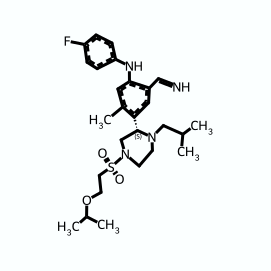 Cc1cc(Nc2ccc(F)cc2)c(C=N)cc1[C@H]1CN(S(=O)(=O)CCOC(C)C)CCN1CC(C)C